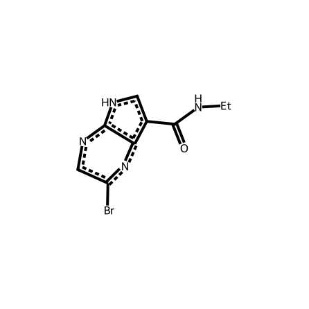 CCNC(=O)c1c[nH]c2ncc(Br)nc12